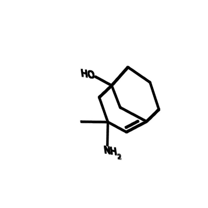 CC1(N)C=C2CCCC(O)(C2)C1